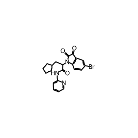 O=C1C(=O)N(C(CC2CCCC2)C(=O)Nc2ccccn2)c2ccc(Br)cc21